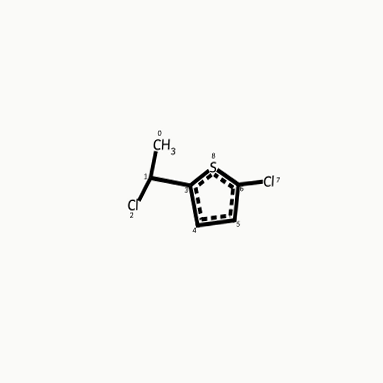 CC(Cl)c1ccc(Cl)s1